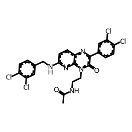 CC(=O)NCCn1c(=O)c(-c2ccc(Cl)c(Cl)c2)nc2ccc(NCc3ccc(Cl)c(Cl)c3)nc21